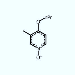 CCCOc1cc[n+]([O-])cc1C